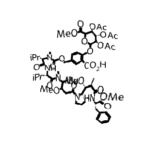 CCC(C)C([C@@H](CC(=O)N1CCC[C@H]1[C@H](OC)[C@@H](C)C(=O)N[C@@H](Cc1ccccc1)C(=O)OC)OC)N(C)C(=O)[C@@H](NC(=O)[C@H](C(C)C)N(C)C(=O)OCc1ccc(OC2OC(C(=O)OC)[C@@H](OC(C)=O)[C@H](OC(C)=O)[C@H]2OC(C)=O)c(C(=O)O)c1)C(C)C